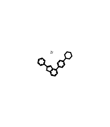 [CH]1C(c2ccccc2)=Cc2c1cccc2-c1ccc(C2CCCCC2)cc1.[Zr]